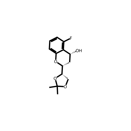 CC1(C)OC[C@@H]([C@H]2C[C@@H](O)c3c(F)cccc3O2)O1